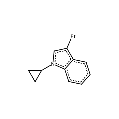 CCc1cn(C2CC2)c2ccccc12